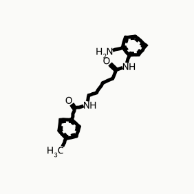 Cc1ccc(C(=O)NCCCCC(=O)Nc2ccccc2N)cc1